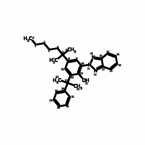 CCCCCC(C)(C)c1cc(-n2nc3ccccc3n2)c(O)c(C(C)(C)c2ccccc2)c1